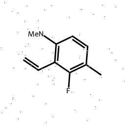 C=Cc1c(NC)ccc(C)c1F